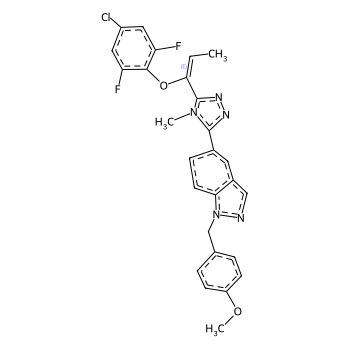 C/C=C(/Oc1c(F)cc(Cl)cc1F)c1nnc(-c2ccc3c(cnn3Cc3ccc(OC)cc3)c2)n1C